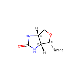 CCCCC[C@H]1OC[C@H]2NC(=O)N[C@H]21